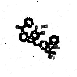 CN(C1(c2ccccc2)CCN(CCCC2(c3ccc(Cl)c(Cl)c3)CCCN(C(=O)c3ccccc3)C2)CC1)S(C)(=O)=O.Cl